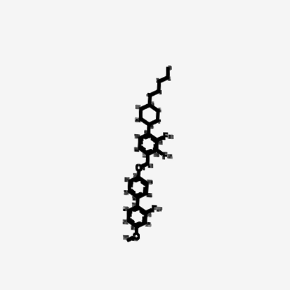 CCCCCC1CCC(c2ccc(COc3ccc(-c4ccc(OC)cc4F)cc3)c(F)c2F)CC1